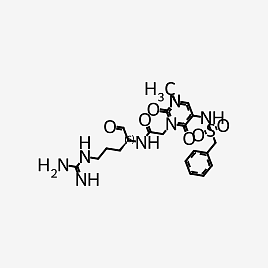 Cn1cc(NS(=O)(=O)Cc2ccccc2)c(=O)n(CC(=O)N[C@H](C=O)CCCNC(=N)N)c1=O